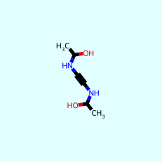 CC(O)NC#CNC(C)O